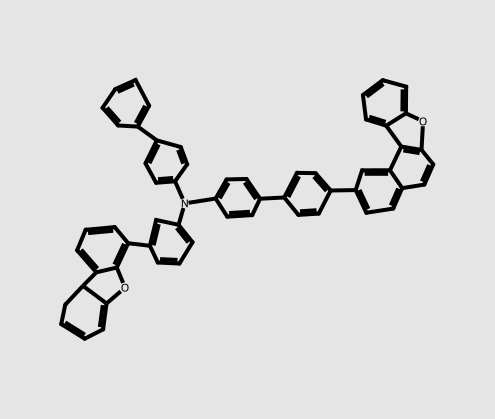 C1=CCC2C(=C1)Oc1c(-c3cccc(N(c4ccc(-c5ccccc5)cc4)c4ccc(-c5ccc(-c6ccc7ccc8oc9ccccc9c8c7c6)cc5)cc4)c3)cccc12